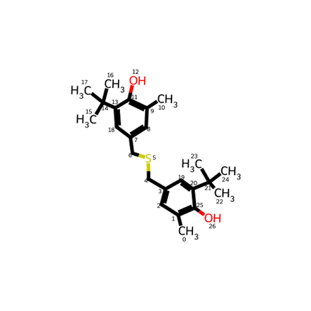 Cc1cc(CSCc2cc(C)c(O)c(C(C)(C)C)c2)cc(C(C)(C)C)c1O